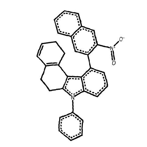 O=[N+]([O-])c1cc2ccccc2cc1-c1cccc2c1c1c(n2-c2ccccc2)CCC2=C1CCC=C2